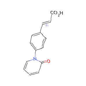 O=C(O)/C=C/c1ccc(-n2ccccc2=O)cc1